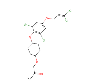 CC(=O)COC1CCC(Oc2c(Cl)cc(OCC=C(Cl)Cl)cc2Cl)CC1